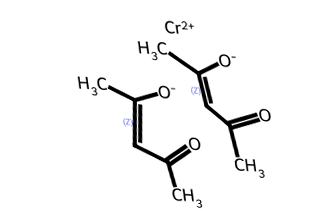 CC(=O)/C=C(/C)[O-].CC(=O)/C=C(/C)[O-].[Cr+2]